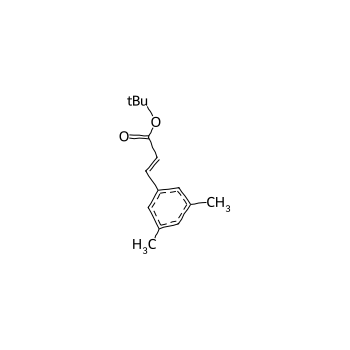 Cc1cc(C)cc(/C=C/C(=O)OC(C)(C)C)c1